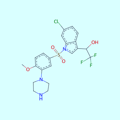 COc1ccc(S(=O)(=O)n2cc(C(O)C(F)(F)F)c3ccc(Cl)cc32)cc1N1CCNCC1